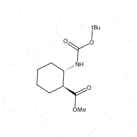 COC(=O)[C@H]1CCCC[C@@H]1NC(=O)OC(C)(C)C